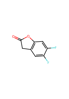 O=C1Cc2cc(F)c(F)cc2O1